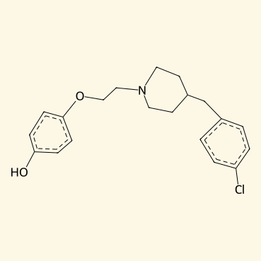 Oc1ccc(OCCN2CCC(Cc3ccc(Cl)cc3)CC2)cc1